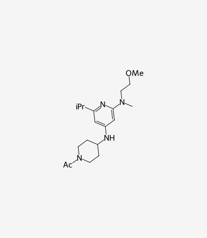 COCCN(C)c1cc(NC2CCN(C(C)=O)CC2)cc(C(C)C)n1